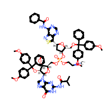 [C-]#[N+]CCOP(=O)(OC[C@H]1O[C@@H](n2cnc3c(=O)[nH]c(NC(=O)C(C)C)nc32)[C@H](OC(c2ccccc2)(c2ccc(OC)cc2)c2ccc(OC)cc2)[C@@H]1OC)O[C@H]1C[C@H](c2snc3c(NC(=O)c4ccccc4)ncnc23)O[C@@H]1COC(c1ccccc1)(c1ccc(OC)cc1)c1ccc(OC)cc1